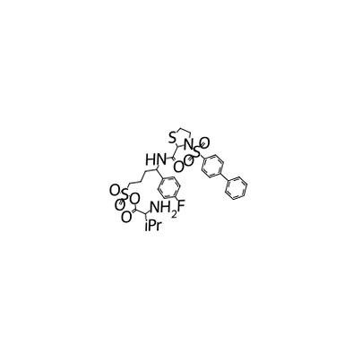 CC(C)C(N)C(=O)OS(=O)(=O)CCCC(NC(=O)C1SCCN1S(=O)(=O)c1ccc(-c2ccccc2)cc1)c1ccc(F)cc1